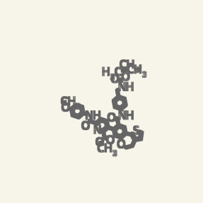 COC(=O)c1nc(C(=O)Nc2ccc(OC)cc2)ccc1-c1cc2c(cc1C(=O)Nc1ccc(CNC(=O)OC(C)(C)C)cc1)-c1sccc1CCO2